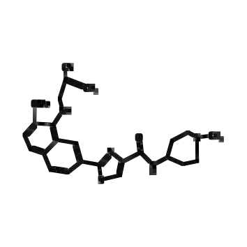 C=C(C#N)CNc1c(OC)ccc2ccc(-c3nc(C(=O)NC4CCN(C)CC4)cs3)cc12